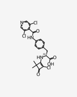 CC1(C)C(=O)C(Cl)=C1N[C@@H](Cc1ccc(NC(=O)c2c(Cl)cncc2Cl)cc1)C(=O)O